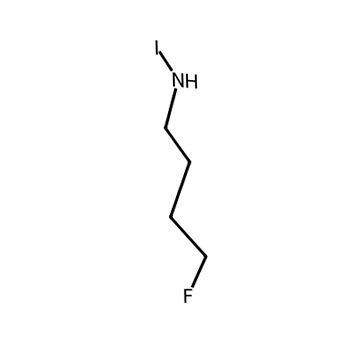 FCCCCNI